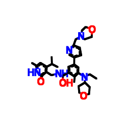 CCN(c1cc(-c2ccc(CN3CCOCC3)nc2)cc(C(O)NCc2c(C(C)C)cc(C)[nH]c2=O)c1C)C1CCOCC1